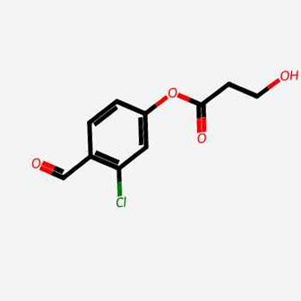 O=Cc1ccc(OC(=O)CCO)cc1Cl